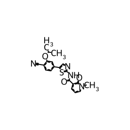 CC(C)Oc1cc(-c2cnc(NC(=O)c3cccn(C)c3=O)s2)ccc1C#N